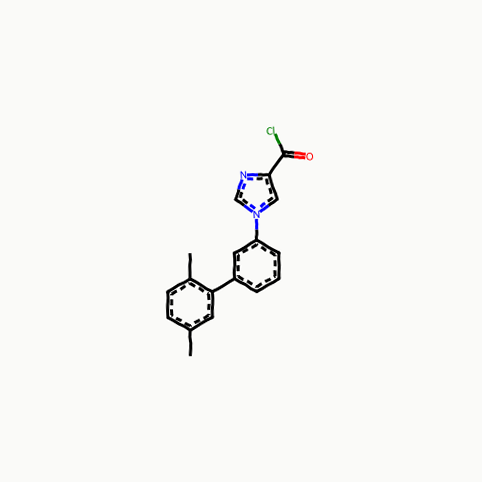 Cc1ccc(C)c(-c2cccc(-n3cnc(C(=O)Cl)c3)c2)c1